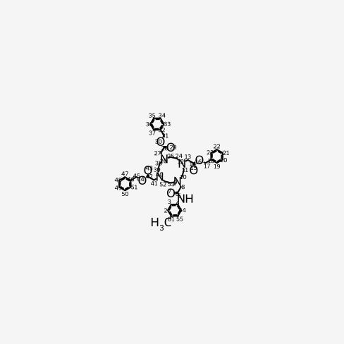 Cc1ccc(NC(=O)CN2CCN(CC(=O)OCc3ccccc3)CCN(CC(=O)OCc3ccccc3)CCN(CC(=O)OCc3ccccc3)CC2)cc1